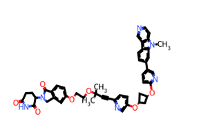 Cn1c2ccncc2c2ccc(-c3ccc(O[C@H]4C[C@H](Oc5ccc(C#CC(C)(C)OCCOc6ccc7c(c6)CN(C6CCC(=O)NC6=O)C7=O)nc5)C4)nc3)cc21